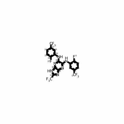 Fc1ccc(C(F)(F)F)cc1Nc1nc2nc(C(F)(F)F)[nH]c2nc1Nc1cc(C(F)(F)F)ccc1F